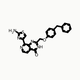 Nc1nc(-c2nccc3c(=O)[nH]c(COc4ccc(Cc5ccccc5)cc4)nc23)cs1